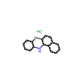 Cl.c1ccc2c(c1)Nc1c(ccc3ccccc13)[Se]2